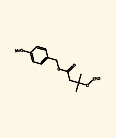 COc1ccc(COC(=O)CC(C)(C)OC=O)cc1